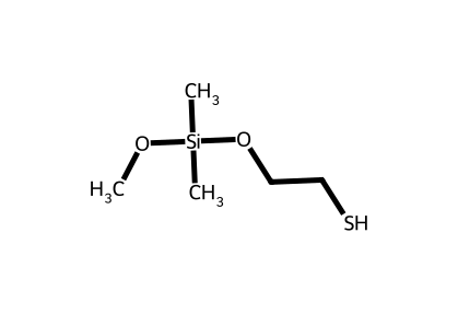 CO[Si](C)(C)OCCS